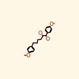 COc1ccc(CCCCC(=O)C(=O)c2ccc(OC)cc2)cc1